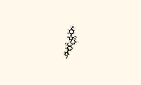 Cn1cc(-c2cnc(N3CCC[C@@]4(CCN(C5CCC(O)CC5)C4=O)C3)c(Cl)c2)cn1